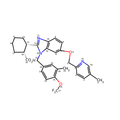 Cc1ccc(COc2ccc3nc([C@H]4CCCC[C@H]4C(=O)O)n(Cc4ccc(OC(F)(F)F)c(C)c4)c3c2)nc1